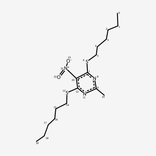 CCCCCCSc1nc(C)nc(SCCCCCC)c1[N+](=O)[O-]